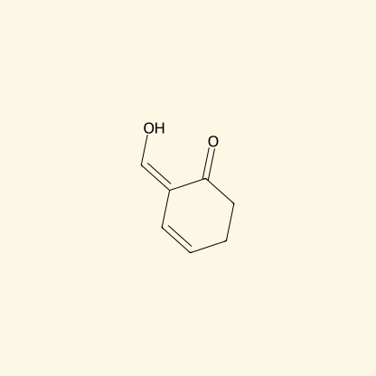 O=C1CCC=CC1=CO